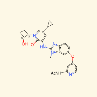 CC(=O)Nc1cc(Oc2ccc3nc(Nc4cc(C5CC5)cn([C@H]5CC[C@@H]5O)c4=O)n(C)c3c2)ccn1